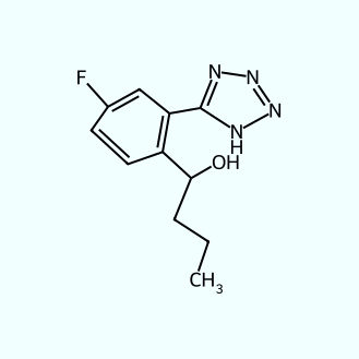 CCCC(O)c1ccc(F)cc1-c1nnn[nH]1